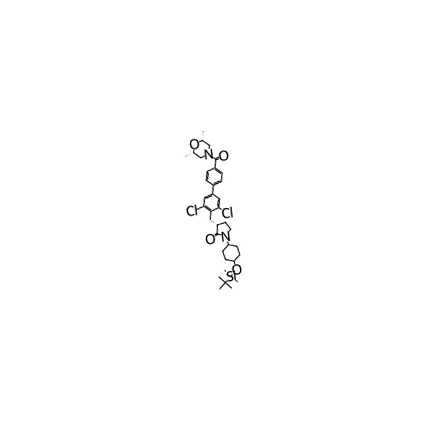 C[C@@H]1CN(C(=O)c2ccc(-c3cc(Cl)c(C[C@@H]4CCN(C5CCC(O[Si](C)(C)C(C)(C)C)CC5)C4=O)c(Cl)c3)cc2)C[C@H](C)O1